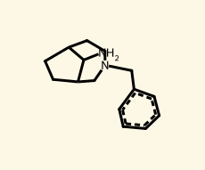 NC1C2CCC1CN(Cc1ccccc1)CC2